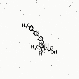 Cc1ccc(-c2ccc(N3CCC(Cc4nc(C)c(O)c(C(=O)NCC(=O)O)n4)CC3)nc2)cc1